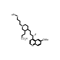 CCCSCCCN1CCC(CC[C@H](F)c2ccnc3ccc(OC)cc23)C(CCC(=O)O)C1